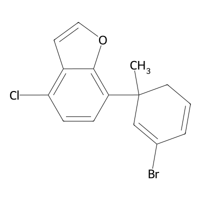 CC1(c2ccc(Cl)c3ccoc23)C=C(Br)C=CC1